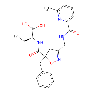 Cc1cccc(C(=O)NCC2=NOC(Cc3ccccc3)(C(=O)N[C@@H](CC(C)C)B(O)O)C2)n1